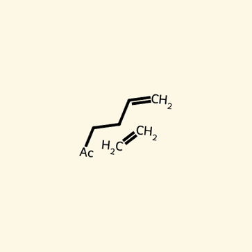 C=C.C=CCCC(C)=O